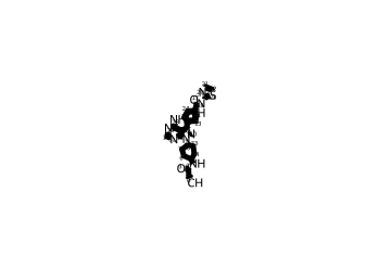 C#CC(=O)NC1CCC(n2nc(-c3ccc(C(=O)Nc4nccs4)cc3)c3c(N)ncnc32)CC1